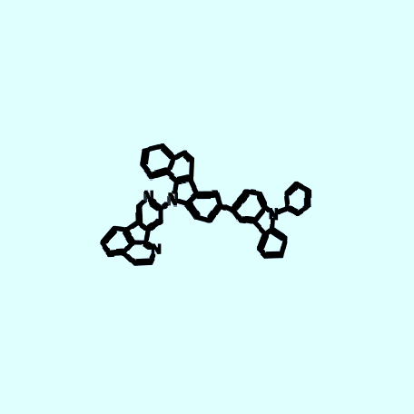 c1ccc(-n2c3ccccc3c3cc(-c4ccc5c(c4)c4ccc6ccccc6c4n5-c4cc5c(cn4)-c4cccc6ccnc-5c46)ccc32)cc1